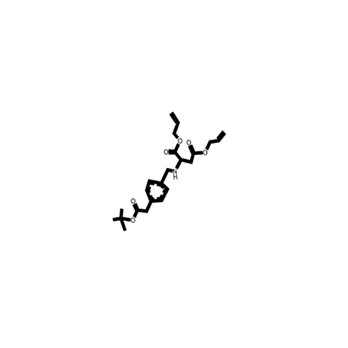 C=CCOC(=O)CC(NCc1ccc(CC(=O)OC(C)(C)C)cc1)C(=O)OCC=C